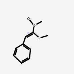 CS/C(=C\c1ccccc1)[S+](C)[O-]